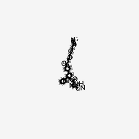 N#Cc1cnc(C(=O)Nc2ccc(C3CCN(C(=O)CCOCCOCCN=[N+]=[N-])CC3)cc2C2=CCCCC2)[nH]1